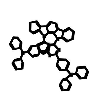 c1ccc(N(c2ccccc2)c2ccc(-c3nc(-c4ccc(N(c5ccccc5)c5ccccc5)cc4)nc(-n4c5ccccc5c5ccc6c7ccccc7n(-c7ccccc7)c6c54)n3)cc2)cc1